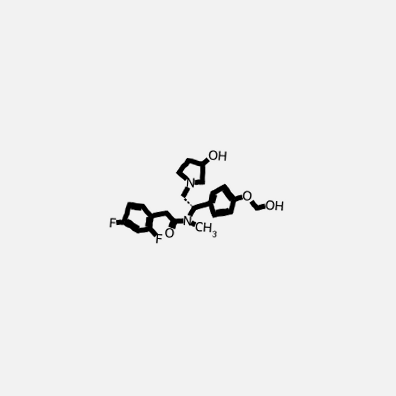 CN(C(=O)Cc1ccc(F)cc1F)[C@H](CN1CCC(O)C1)c1ccc(OCO)cc1